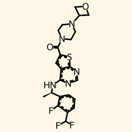 C[C@@H](Nc1ncnc2sc(C(=O)N3CCN(C4COC4)CC3)cc12)c1cccc(C(F)F)c1F